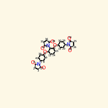 O=C1C=CC(=O)N1c1ccc(Oc2cccc(Oc3ccc(N4C(=O)C=CC4=O)cc3)c2N2C(=O)C=CC2=O)cc1